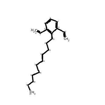 C=Cc1cccc(C=C)c1CCCCCCCCCCC